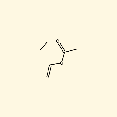 C=COC(C)=O.CC